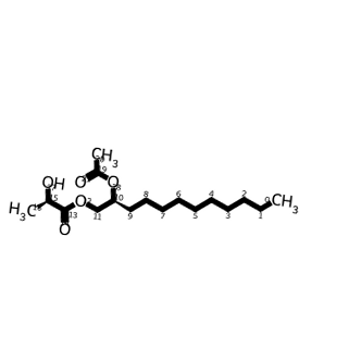 CCCCCCCCCC[C@@H](COC(=O)[C@@H](C)O)OC(C)=O